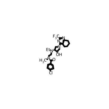 CCN(CCN(C)C(=O)c1ccc(Cl)cc1)[C@@H]1CN(c2nc(C(F)(F)F)nc3c2CCCC3)C[C@H]1O